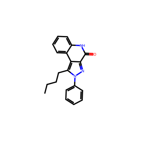 CCCCc1c2c(nn1-c1ccccc1)c(=O)[nH]c1ccccc12